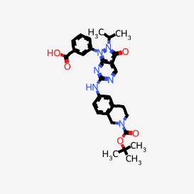 CC(C)n1c(=O)c2cnc(Nc3ccc4c(c3)CCN(C(=O)OC(C)(C)C)C4)nc2n1-c1cccc(C(=O)O)c1